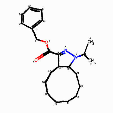 CC(C)N1N=C(C(=O)OCc2ccccc2)C2CCCCCCCCC21